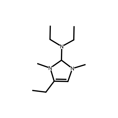 CCC1=CN(C)C(N(CC)CC)N1C